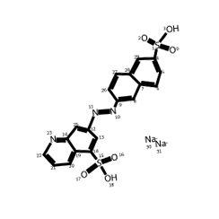 O=S(=O)(O)c1ccc2cc(N=Nc3cc(S(=O)(=O)O)c4cccnc4c3)ccc2c1.[Na].[Na]